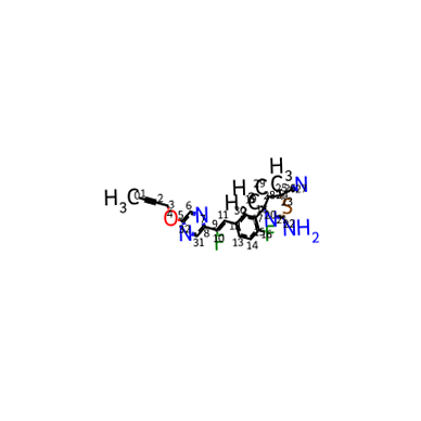 CC#CCOc1cnc(/C(F)=C/c2ccc(F)c([C@@]3(C)N=C(N)S[C@](C)(C#N)[C@H]3C)c2)cn1